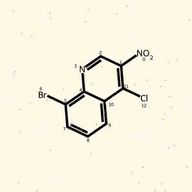 O=[N+]([O-])c1cnc2c(Br)cccc2c1Cl